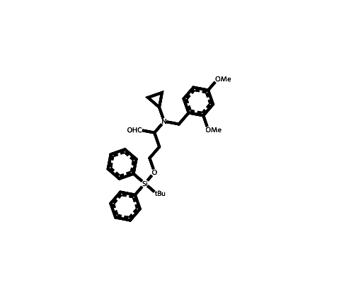 COc1ccc(CN(C(C=O)CCO[Si](c2ccccc2)(c2ccccc2)C(C)(C)C)C2CC2)c(OC)c1